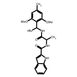 CCCCC(NC(=O)C(C)NC(=O)c1cc2ccccc2[nH]1)c1c(OC)cc(C)cc1OC